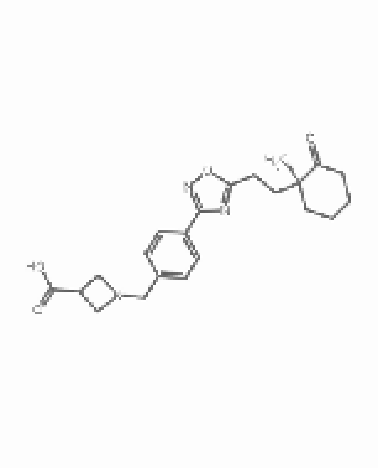 C[C@]1(CCc2nc(-c3ccc(CN4CC(C(=O)O)C4)cc3)no2)CCCCC1=O